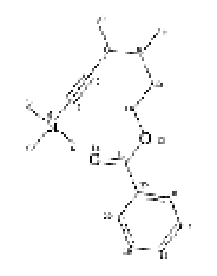 CC(C#C[Si](C)(C)C)C(C)CCOC(=O)c1ccccc1